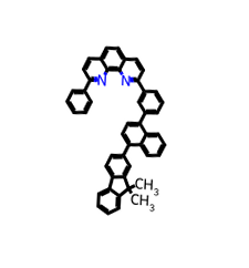 CC1(C)c2ccccc2-c2ccc(-c3ccc(-c4cccc(-c5ccc6ccc7ccc(-c8ccccc8)nc7c6n5)c4)c4ccccc34)cc21